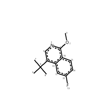 COc1ncc(C(C)(C)C)c2cc(F)ccc12